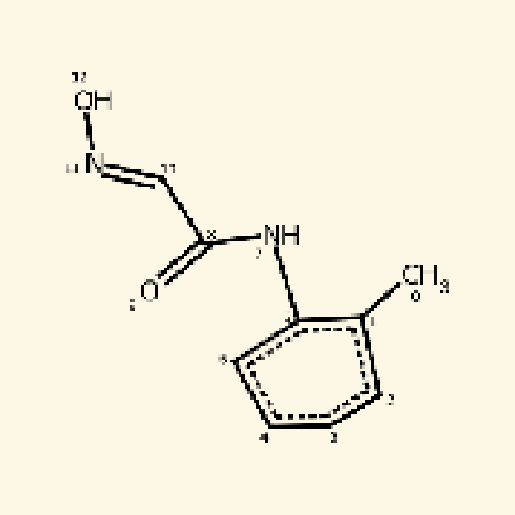 Cc1ccccc1NC(=O)C=NO